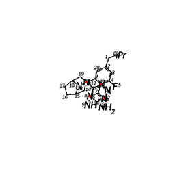 CC(C)Cc1cc(F)c(/C(N=N)=N/N)c(N2CC3CCC(C2)N3Cc2cccnn2)c1